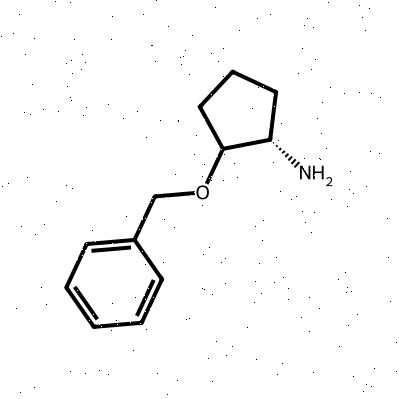 N[C@H]1CCCC1OCc1ccccc1